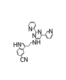 N#Cc1ccc2[nH]cc(CCNc3cc(-c4cccnc4)nc(-c4ccccn4)n3)c2c1